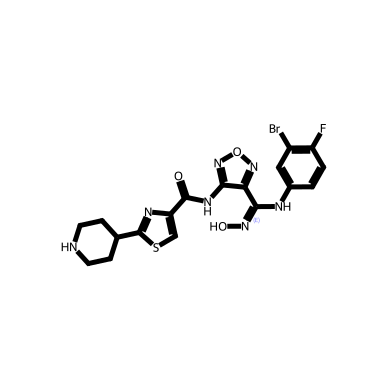 O=C(Nc1nonc1/C(=N\O)Nc1ccc(F)c(Br)c1)c1csc(C2CCNCC2)n1